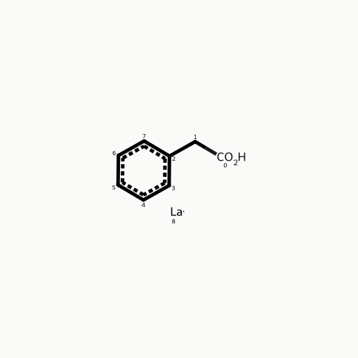 O=C(O)Cc1ccccc1.[La]